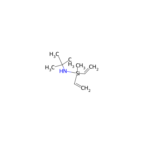 C=C[Si](C)(C=C)NC(C)(C)C